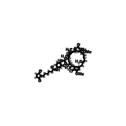 COc1cc2cc(c1Cl)N(C)C(=O)C[C@H](OC(=O)Nc1ccc(NC(=O)CCCCCN3C(=O)C=CC3=O)cc1Cl)[C@]1(C)O[C@H]1[C@H](C)[C@@H]1C[C@@](O)(NC(=O)O1)[C@H](OC)/C=C/C=C(\C)C2